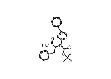 CC(C)(C)OC(=O)N(c1nc(-c2ccccc2)cs1)[C@@H](Cc1ccccc1)C(=O)O